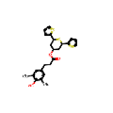 CC(C)(C)c1cc(CCC(=O)OC2CC(c3cccs3)SC(c3cccs3)C2)cc(C(C)(C)C)c1O